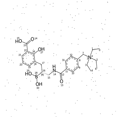 CC[N+](CC)(CC)Cc1ccc(C(=O)NC[C@@H](Cc2cccc(C(=O)O)c2O)B(O)O)cc1